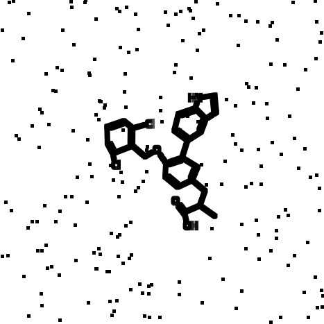 CC(Cc1ccc(OCc2c(Cl)cccc2Cl)c(-c2ccc3[nH]ccc3c2)c1)C(=O)O